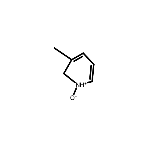 CC1=CC=C[NH+]([O-])C1